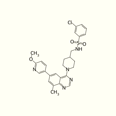 COc1ccc(-c2cc(C)c3ncnc(N4CCC(CNS(=O)(=O)c5cccc(Cl)c5)CC4)c3c2)cn1